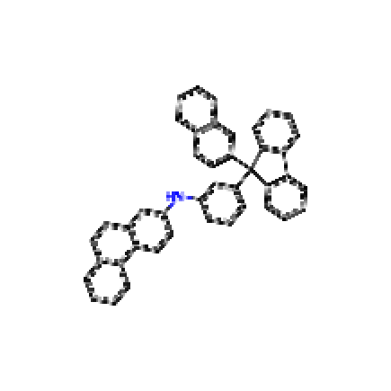 c1cc(Nc2ccc3c(ccc4ccccc43)c2)cc(C2(c3ccc4ccccc4c3)c3ccccc3-c3ccccc32)c1